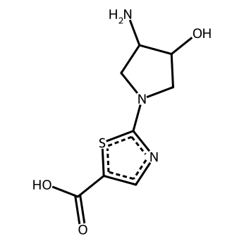 NC1CN(c2ncc(C(=O)O)s2)CC1O